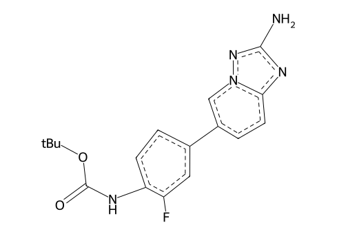 CC(C)(C)OC(=O)Nc1ccc(-c2ccc3nc(N)nn3c2)cc1F